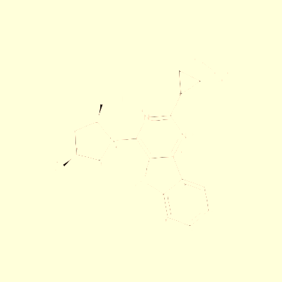 O=C(O)[C@@H]1C[C@H](O)CN1c1nc(C2CC2)nc2c1oc1ccccc12.O=CO